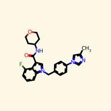 Cc1cn(-c2ccc(Cn3cc(C(=O)NC4CCOCC4)c4c(F)cccc43)cc2)cn1